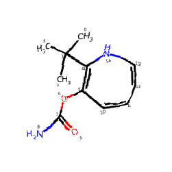 CC(C)(C)C1=C(OC(N)=O)C=CC=CN1